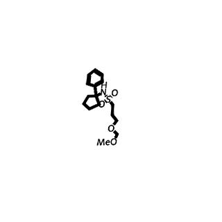 COCOCCCS(=O)(=O)NC1(c2ccccc2)CCCC1